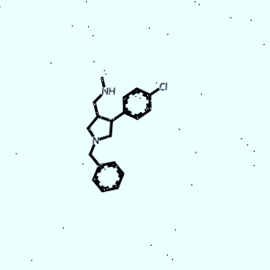 CNCC1CN(Cc2ccccc2)CC1c1ccc(Cl)cc1